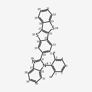 Cc1cccc(C)c1-n1c(-c2ccc3c(c2)sc2c4ccccc4sc32)nc2ccccc21